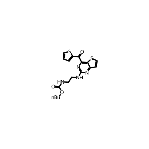 CCCCOC(=O)NCCNc1nc(C(=O)c2cccs2)c2sccc2n1